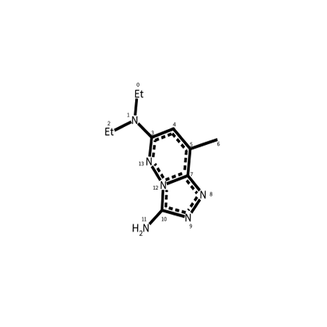 CCN(CC)c1cc(C)c2nnc(N)n2n1